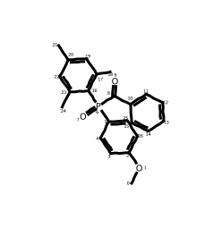 COc1ccc(P(=O)(C(=O)c2ccccc2)c2c(C)cc(C)cc2C)cc1